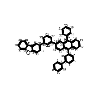 c1ccc(-c2cccc(-c3c4ccccc4c(-c4ccccc4)c4cc(-c5cccc(-c6ccc7oc8ccccc8c7c6)c5)ccc34)c2)cc1